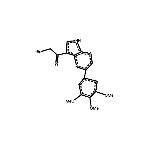 COc1cc(-c2cnc3[nH]cc(C(=O)CC(C)(C)C)c3n2)cc(OC)c1OC